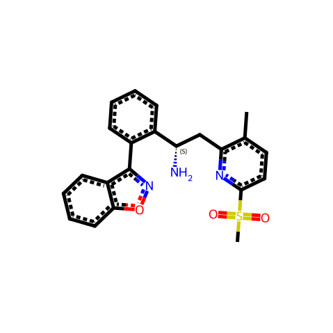 Cc1ccc(S(C)(=O)=O)nc1C[C@H](N)c1ccccc1-c1noc2ccccc12